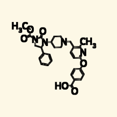 COC(=O)N1CC(c2ccccc2)N(C2CCN(Cc3ccc(Oc4ccc(C(=O)O)cc4)nc3C)CC2)C1=O